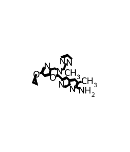 Cc1cc2cc(C(=O)N(Cc3ccc(OC4CC4)cn3)[C@H](C)c3ncccn3)ncc2nc1N